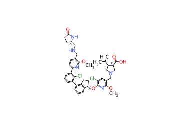 COc1nc(-c2cccc(-c3cccc4c3CC[C@@H]4Oc3nc(OC)c(CN4CC(C(C)C)[C@@H](C(=O)O)C4)cc3Cl)c2Cl)ccc1CNC[C@@H]1CCC(=O)N1